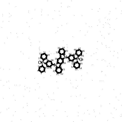 O=P(c1ccccc1)(c1ccccc1)c1ccc(-n2c3ccccc3c3cc4c(cc32)c2ccccc2n4-c2ccc(P(=O)(c3ccccc3)c3ccccc3)cc2)cc1